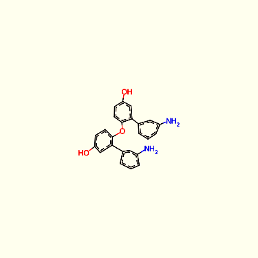 Nc1cccc(-c2cc(O)ccc2Oc2ccc(O)cc2-c2cccc(N)c2)c1